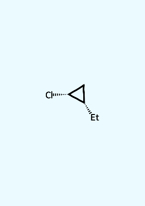 CC[C@H]1C[C@H]1Cl